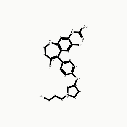 CC(C)(C)C(=O)Oc1cc2c(cc1F)C(c1ccc(OC3CCN(CCCF)C3)cc1)=C(Br)CCO2